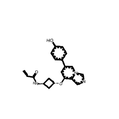 C=CC(=O)N[C@H]1C[C@H](Oc2cc(-c3ccc(O)cc3)cn3cncc23)C1